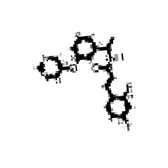 CC(NC(=O)C=Cc1ccc(F)cc1F)c1cccc(Oc2cncnc2)c1